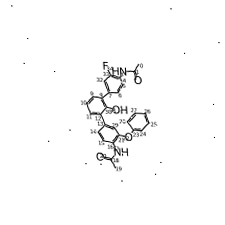 CC(=O)Nc1ccc(-c2cccc(-c3ccc(NC(C)=O)c(Oc4ccccc4)c3)c2O)cc1F